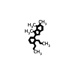 CCCc1cccc(C2=C(C)c3c(ccc(C)c3C)[CH]2)c1CCC